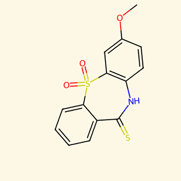 COc1ccc2c(c1)S(=O)(=O)c1ccccc1C(=S)N2